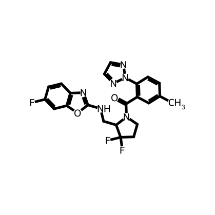 Cc1ccc(-n2nccn2)c(C(=O)N2CCC(F)(F)C2CNc2nc3ccc(F)cc3o2)c1